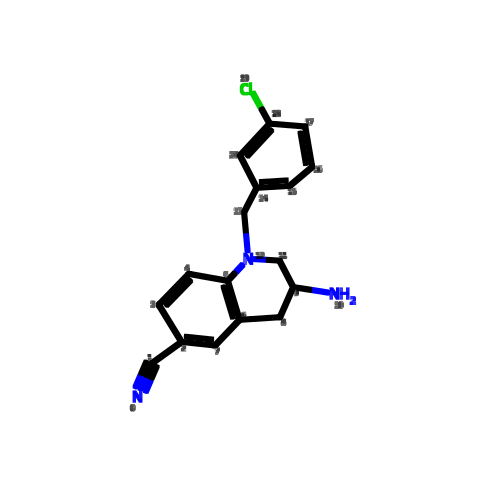 N#Cc1ccc2c(c1)CC(N)CN2Cc1cccc(Cl)c1